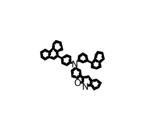 c1cc(-c2cccc3ccccc23)cc(N(c2ccc(-c3cc4ccccc4c4ccccc34)cc2)c2ccc3oc4nc5ccccc5cc4c3c2)c1